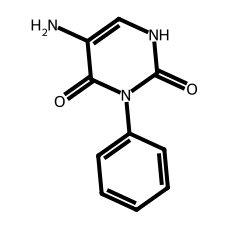 Nc1c[nH]c(=O)n(-c2ccccc2)c1=O